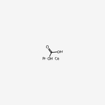 O=C(O)O.[Ce].[Pr]